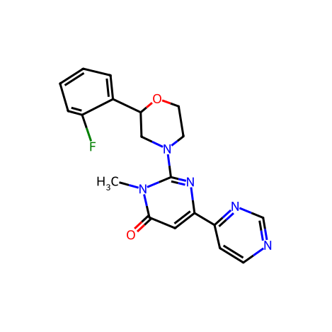 Cn1c(N2CCOC(c3ccccc3F)C2)nc(-c2ccncn2)cc1=O